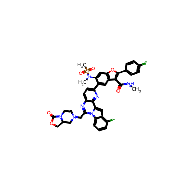 CNC(=O)c1c(-c2ccc(F)cc2)oc2cc(N(C)S(C)(=O)=O)c(-c3ccc4nc(CN5CCN6C(=O)OCC6C5)n5c6cccc(F)c6cc5c4n3)cc12